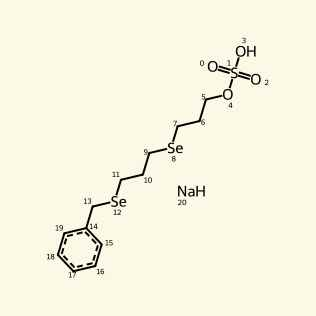 O=S(=O)(O)OCCC[Se]CCC[Se]Cc1ccccc1.[NaH]